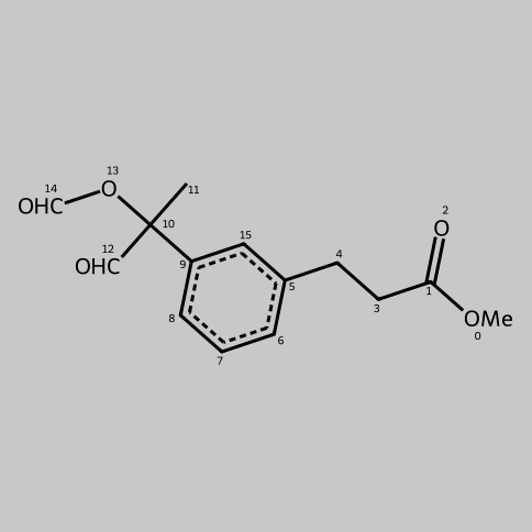 COC(=O)CCc1cccc(C(C)(C=O)OC=O)c1